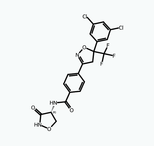 O=C(N[C@@H]1CONC1=O)c1ccc(C2=NOC(c3cc(Cl)cc(Cl)c3)(C(F)(F)F)C2)cc1